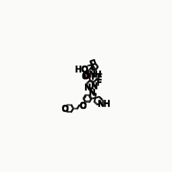 CC12CC3CC1CC2CC3(NC(=O)c1cnc(N2CC3(CCNCC3)c3cc(OCCC4CCOCC4)ccc32)nc1C(F)(F)F)C(=O)O